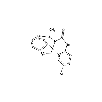 CCC1(c2ccccc2)c2cc(Cl)ccc2NC(=O)N1C(C)C